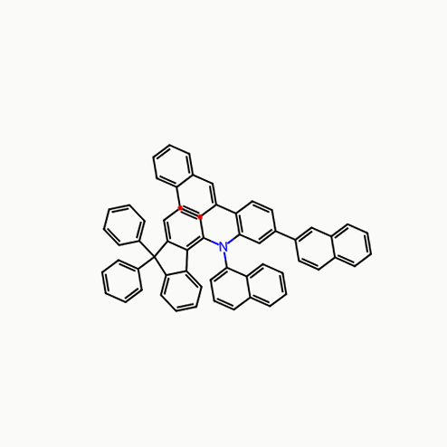 c1ccc(C2(c3ccccc3)c3ccccc3-c3c(N(c4cc(-c5ccc6ccccc6c5)ccc4-c4ccc5ccccc5c4)c4cccc5ccccc45)cccc32)cc1